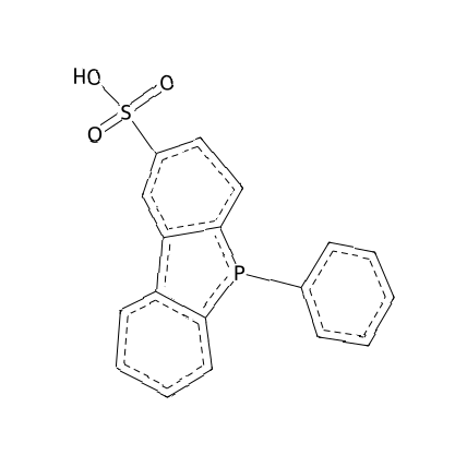 O=S(=O)(O)c1ccc2c(c1)c1ccccc1p2-c1ccccc1